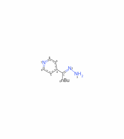 CCCCC(=NN)c1ccncc1